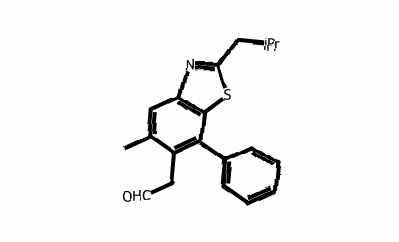 Cc1cc2nc(CC(C)C)sc2c(-c2ccccc2)c1CC=O